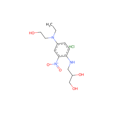 CCN(CCO)c1ccc(NCC(O)CO)c([N+](=O)[O-])c1.Cl